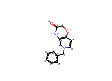 O=C1COC2=C(CN(Cc3ccccc3)C=C2)N1